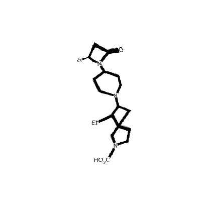 CCC1C(N2CCC(N3C(=O)C[C@@H]3CC)CC2)CC12CCN(C(=O)O)C2